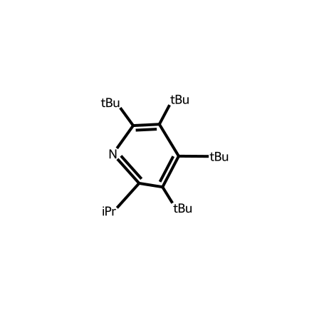 CC(C)c1nc(C(C)(C)C)c(C(C)(C)C)c(C(C)(C)C)c1C(C)(C)C